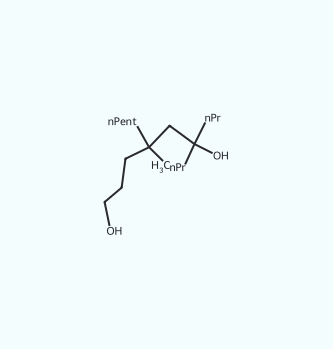 CCCCCC(C)(CCCO)CC(O)(CCC)CCC